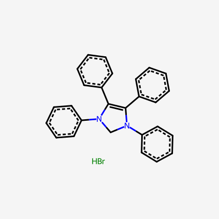 Br.c1ccc(C2=C(c3ccccc3)N(c3ccccc3)CN2c2ccccc2)cc1